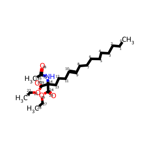 CCCCCCCCCC=CCCCC(NC(C)=O)(C(=O)OCC)C(=O)OCC